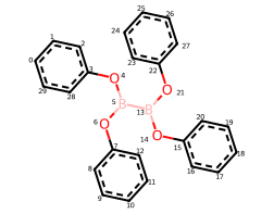 c1ccc(OB(Oc2ccccc2)B(Oc2ccccc2)Oc2ccccc2)cc1